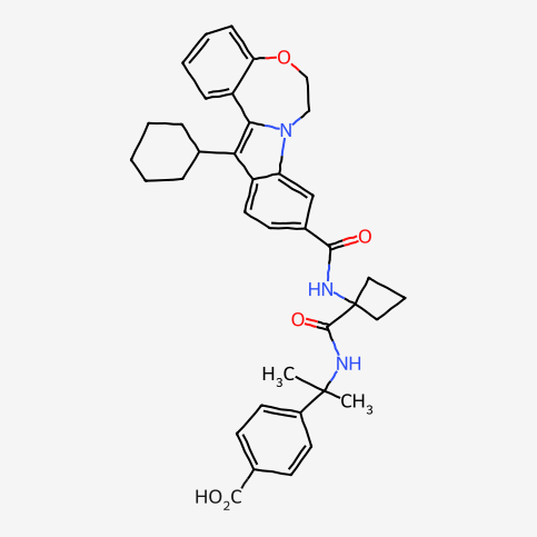 CC(C)(NC(=O)C1(NC(=O)c2ccc3c(C4CCCCC4)c4n(c3c2)CCOc2ccccc2-4)CCC1)c1ccc(C(=O)O)cc1